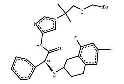 CC(C)(C)CNCC(C)(C)n1cnc(NC(=O)[C@@H](NC2CCc3cc(F)cc(F)c3C2)c2ccccc2)c1